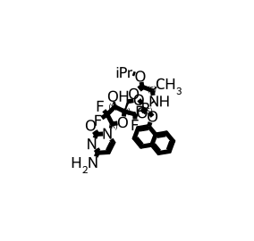 CC(C)OC(=O)[C@H](C)N[P@](=O)(OC[C@@]1(C(F)F)O[C@@H](n2ccc(N)nc2=O)C(F)(F)[C@H]1O)Oc1cccc2ccccc12